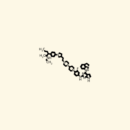 C=CNC(=C)C(CCC)c1ccc(N2CCC(CCN3CCN(C4CCN(c5ccc(Nc6nc(N7SN8CCc9cccc7c98)c7cc[nH]c7n6)cc5F)CC4)CC3)C2)cc1